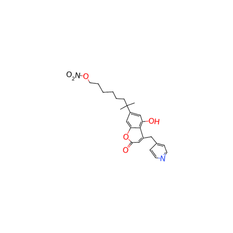 CC(C)(CCCCCCO[N+](=O)[O-])c1cc(O)c2c(Cc3ccncc3)cc(=O)oc2c1